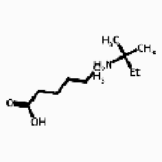 CCC(C)(C)N.CCCCCC(=O)O